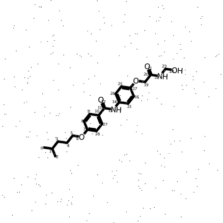 CC(C)CCCOc1ccc(C(=O)Nc2ccc(OCC(=O)NCO)cc2)cc1